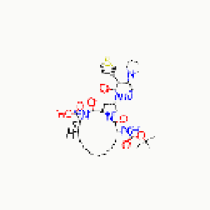 CC(C)(C)OC(=O)N[C@@H]1CCCCCCC[C@@H]2C[C@]2(C(=O)O)NC(=O)C2C[C@H](n3ncc(N4CCCC4)c(-c4ccsc4)c3=O)CN2C1=O